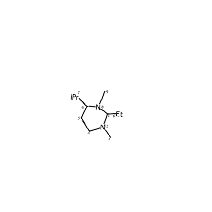 CCC1N(C)CCC(C(C)C)N1C